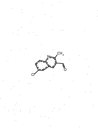 Cc1nc2ccc(Cl)cc2cc1C=O